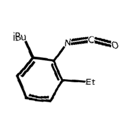 CCc1cccc(C(C)CC)c1N=C=O